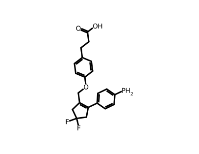 O=C(O)CCc1ccc(OCC2=C(c3ccc(P)cc3)CC(F)(F)C2)cc1